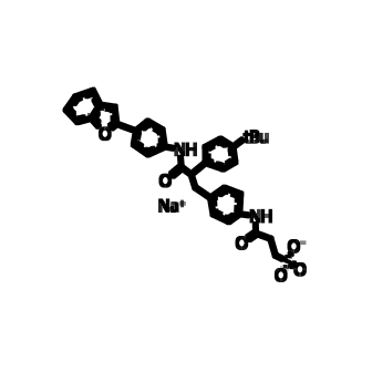 CC(C)(C)c1ccc(C(Cc2ccc(NC(=O)CCS(=O)(=O)[O-])cc2)C(=O)Nc2ccc(-c3cc4ccccc4o3)cc2)cc1.[Na+]